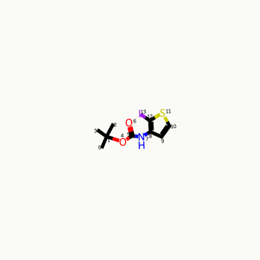 CC(C)(C)OC(=O)Nc1ccsc1I